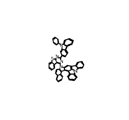 c1ccc(-n2c3ccccc3c3ccc(-c4nc(-n5c6ccc7ccccc7c6c6c7c8ccccc8n8c9ccccc9c(cc65)c78)c5c(n4)sc4ccccc45)cc32)cc1